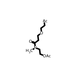 CC(=O)CCOCCC(=O)N(C)CCOC(C)=O